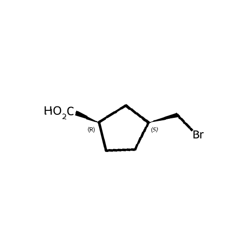 O=C(O)[C@@H]1CC[C@H](CBr)C1